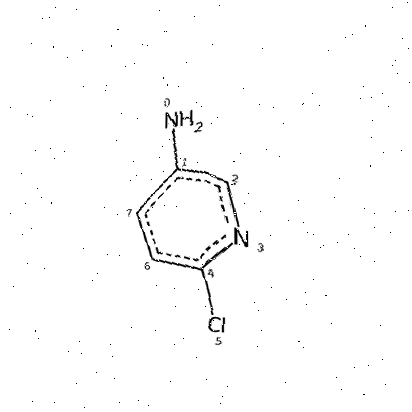 Nc1[c]nc(Cl)cc1